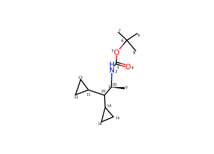 C[C@H](NC(=O)OC(C)(C)C)C(C1CC1)C1CC1